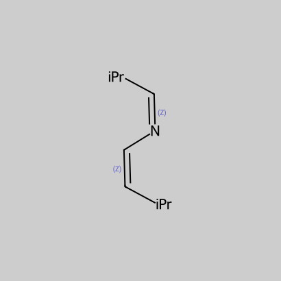 CC(C)/C=C\N=C/C(C)C